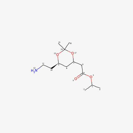 CC(C)OC(=O)CC1C[C@@H](CCN)OC(C)(C)O1